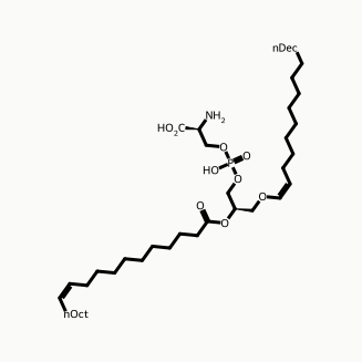 CCCCCCCC/C=C\CCCCCCCCCC(=O)O[C@H](CO/C=C\CCCCCCCCCCCCCCCCCC)COP(=O)(O)OC[C@H](N)C(=O)O